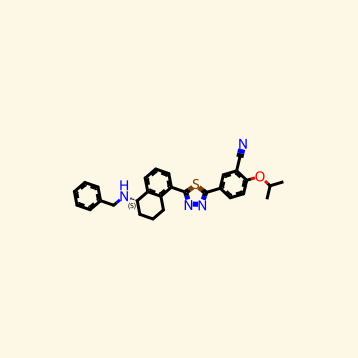 CC(C)Oc1ccc(-c2nnc(-c3cccc4c3CCC[C@@H]4NCc3ccccc3)s2)cc1C#N